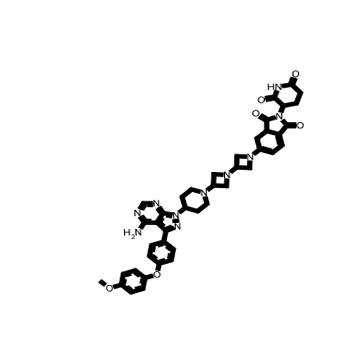 COc1ccc(Oc2ccc(-c3nn(C4CCN(C5CN(C6CN(C7=CC=C8C(=O)N(C9CCC(=O)NC9=O)C(=O)C8C7)C6)C5)CC4)c4ncnc(N)c34)cc2)cc1